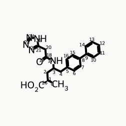 C[C@H](CC(Cc1ccc(-c2ccccc2)cc1)NC(=O)Cc1nnn[nH]1)C(=O)O